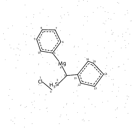 CCl.[SiH3][CH]([Mg][c]1ccccc1)c1ccccc1